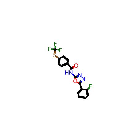 O=C(Nc1nnc(-c2ccccc2F)o1)c1ccc(SC(F)(F)F)cc1